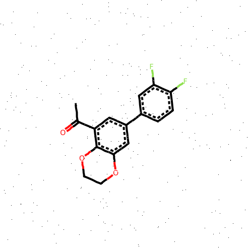 CC(=O)c1cc(-c2ccc(F)c(F)c2)cc2c1OCCO2